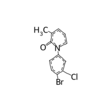 Cc1cccn(-c2ccc(Br)c(Cl)c2)c1=O